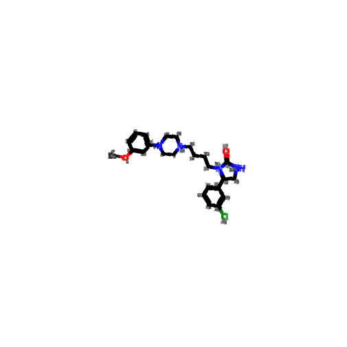 CCOc1cccc(N2CCN(CCCCN3C(=O)NCC3c3cccc(Cl)c3)CC2)c1